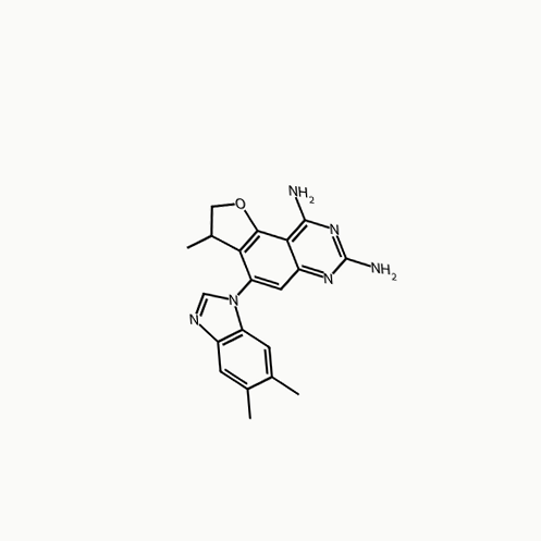 Cc1cc2ncn(-c3cc4nc(N)nc(N)c4c4c3C(C)CO4)c2cc1C